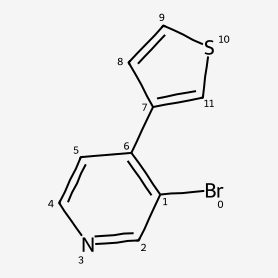 Brc1cnccc1-c1ccsc1